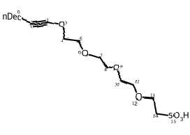 CCCCCCCCCCC#COCCOCCOCCOCCS(=O)(=O)O